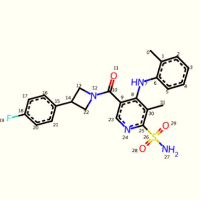 Cc1ccccc1Nc1c(C(=O)N2CC(c3ccc(F)cc3)C2)cnc(S(N)(=O)=O)c1C